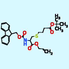 C=CCOC(=O)C(CSCCCC(=O)OC(C)(C)C)NC(=O)OCC1c2ccccc2-c2ccccc21